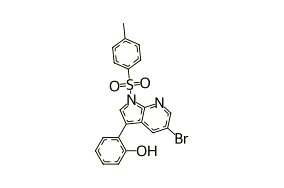 Cc1ccc(S(=O)(=O)n2cc(-c3ccccc3O)c3cc(Br)cnc32)cc1